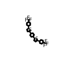 FC(F)(F)c1ccc(-c2ccc(-c3ccc(-c4ccc(-c5ccc(C(F)(F)F)cc5)s4)cc3)s2)cc1